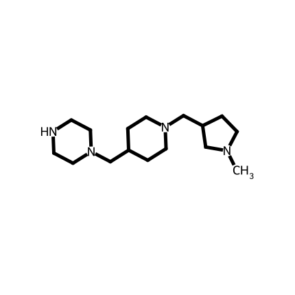 CN1CCC(CN2CCC(CN3CCNCC3)CC2)C1